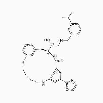 CC(C)c1cccc(CNC[C@@H](O)[C@@H]2Cc3cccc(c3)OCCCCNc3cc(cc(-c4ncco4)c3)C(=O)N2)c1